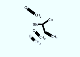 C=C[CH]([Co])C(C)(C)C.C=O.C=O.C=O